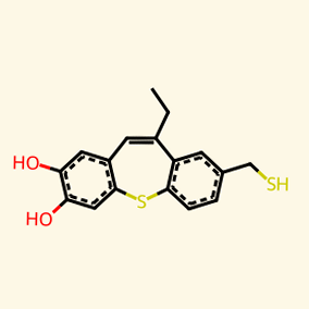 CCC1=Cc2cc(O)c(O)cc2Sc2ccc(CS)cc21